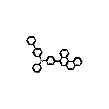 c1ccc(-c2ccc(N(c3ccccc3)c3ccc(-c4cc5ccc6ccccc6c5c5ccccc45)cc3)cc2)cc1